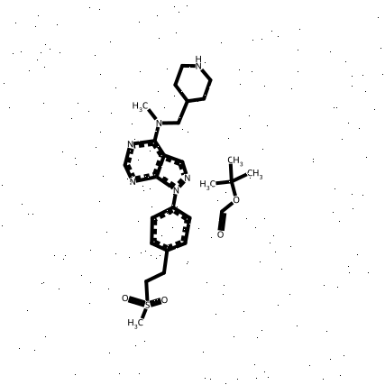 CC(C)(C)OC=O.CN(CC1CCNCC1)c1ncnc2c1cnn2-c1ccc(CCS(C)(=O)=O)cc1